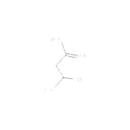 CC(=N)CC(C)O